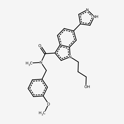 COc1cccc(CN(C)C(=O)c2cn(CCCO)c3cc(-c4cn[nH]c4)ccc23)c1